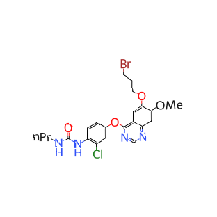 CCCNC(=O)Nc1ccc(Oc2ncnc3cc(OC)c(OCCCBr)cc23)cc1Cl